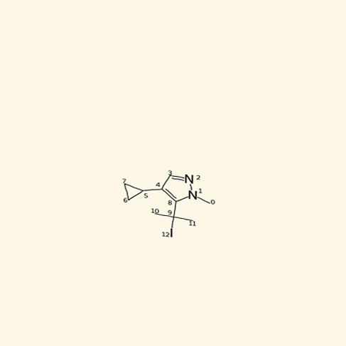 Cn1ncc(C2CC2)c1C(C)(C)I